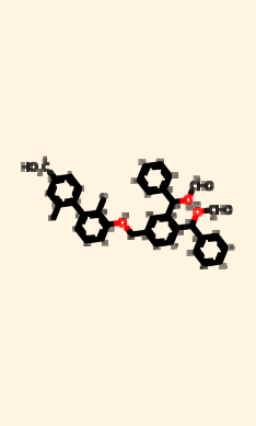 Cc1cc(C(=O)O)ccc1-c1cccc(OCc2ccc(C(OC=O)c3ccccc3)c(C(OC=O)c3ccccc3)c2)c1C